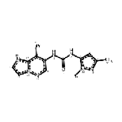 CC(C)c1c(NC(=O)Nc2cc(C(F)(F)F)nn2C)cnn2ccnc12